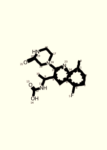 Cc1ccc(F)c2cc(C(C)NC(=O)O)c(N3CCNC(=O)C3)nc12